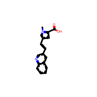 Cn1cc(/C=C/c2cnc3ccccc3c2)cc1C(=O)O